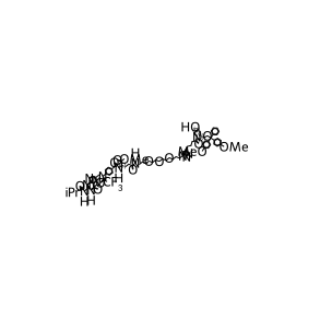 COC(=O)[C@H](CCC(=O)NCCCOCCOCCOCCCn1cc(CCCC(=O)N2C[C@H](O)C[C@H]2COC(c2ccccc2)(c2ccc(OC)cc2)c2ccc(OC)cc2)nn1)NC(=O)c1ccc(N(Cc2cnc3nc(NC(=O)C(C)C)[nH]c(=O)c3n2)C(=O)C(F)(F)F)cc1